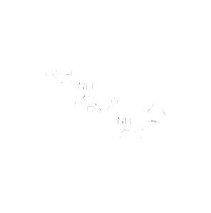 C[C@H](NC(=O)CNC(=O)CNC(=O)[C@@H]1CC1c1ccccc1)C(=O)O